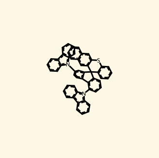 c1ccc2c(c1)Sc1cc3ccccc3cc1C21c2cc(-n3c4ccccc4c4ccccc43)ccc2-c2c(-n3c4ccccc4c4ccccc43)cccc21